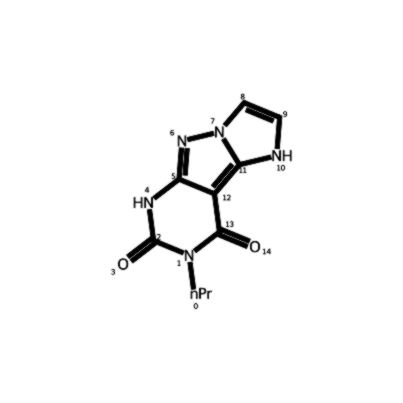 CCCn1c(=O)[nH]c2nn3cc[nH]c3c2c1=O